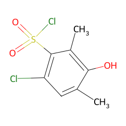 Cc1cc(Cl)c(S(=O)(=O)Cl)c(C)c1O